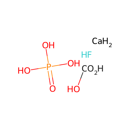 F.O=C(O)O.O=P(O)(O)O.[CaH2]